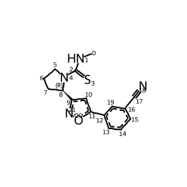 CNC(=S)N1CCC[C@@H]1c1cc(-c2cccc(C#N)c2)on1